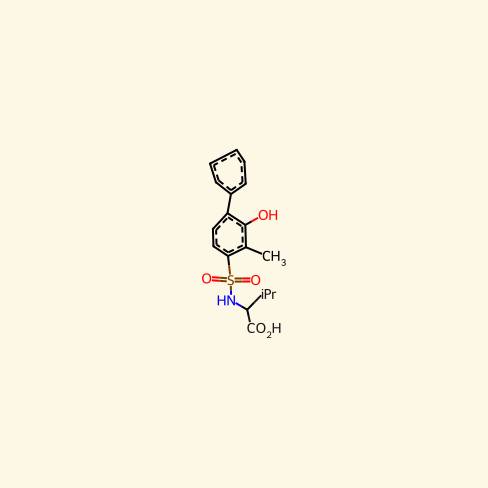 Cc1c(S(=O)(=O)NC(C(=O)O)C(C)C)ccc(-c2ccccc2)c1O